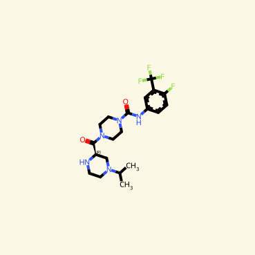 CC(C)N1CCN[C@@H](C(=O)N2CCN(C(=O)Nc3ccc(F)c(C(F)(F)F)c3)CC2)C1